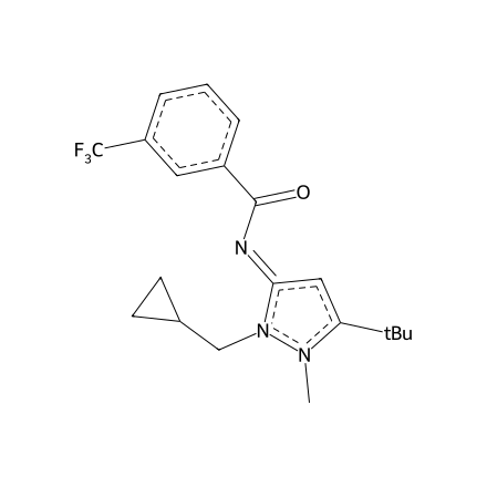 Cn1c(C(C)(C)C)c/c(=N\C(=O)c2cccc(C(F)(F)F)c2)n1CC1CC1